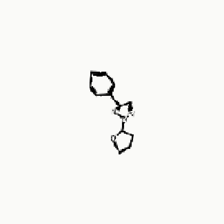 c1ccc(-c2cnn(C3CCCO3)n2)cc1